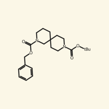 CC(C)(C)OC(=O)N1CCC2(CCCN(C(=O)OCc3ccccc3)C2)CC1